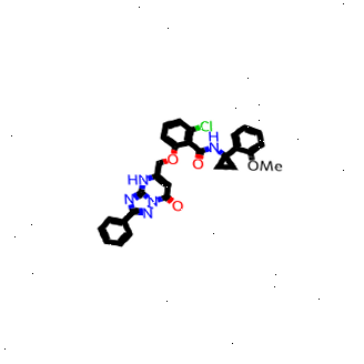 COc1ccccc1C1(NC(=O)c2c(Cl)cccc2OCc2cc(=O)n3nc(-c4ccccc4)nc3[nH]2)CC1